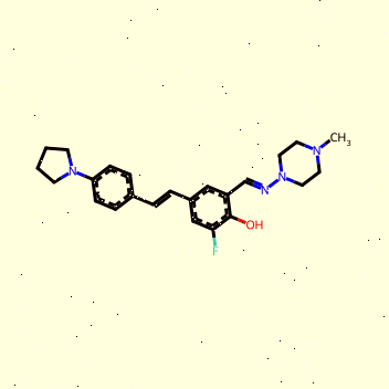 CN1CCN(/N=C/c2cc(/C=C/c3ccc(N4CCCC4)cc3)cc(F)c2O)CC1